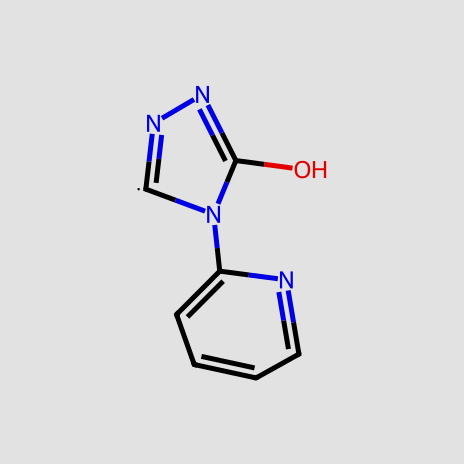 Oc1nn[c]n1-c1ccccn1